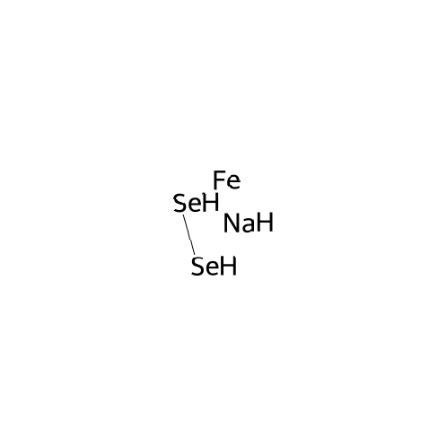 [Fe].[NaH].[SeH][SeH]